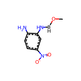 COBNc1cc([N+](=O)[O-])ccc1N